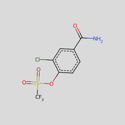 NC(=O)c1ccc(OS(=O)(=O)C(F)(F)F)c(Cl)c1